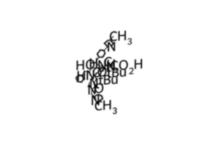 Cc1ccc(-c2ccc(C[C@H](C[C@H](O)[C@H](Cc3ccccc3)NC(=O)[C@@H](N3CCN(Cc4cccc(C)n4)C3=O)C(C)(C)C)NC(=O)[C@@H](N(C)C(=O)O)C(C)(C)C)cc2)nc1